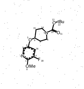 COc1ncc(OC2CCN(C(=O)OC(C)(C)C)CC2)cc1F